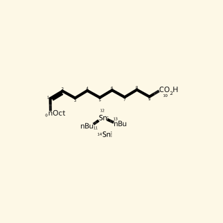 CCCCCCCC/C=C\CCCCCCCC(=O)O.CCC[CH2][Sn][CH2]CCC.[Sn]